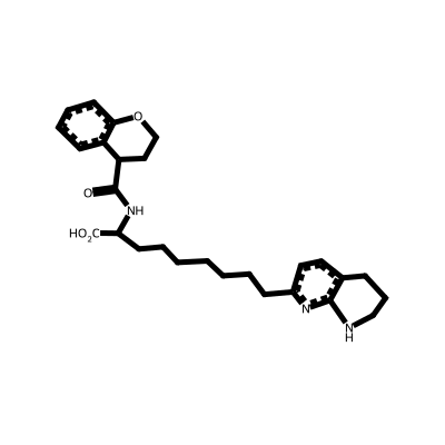 O=C(O)C(CCCCCCCc1ccc2c(n1)NCCC2)NC(=O)C1CCOc2ccccc21